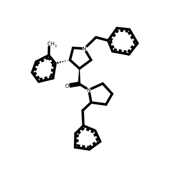 Cc1ccccc1[C@@H]1CN(Cc2ccccc2)C[C@H]1C(=O)N1CCCC1Cc1ccccc1